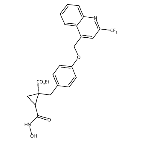 CCOC(=O)[C@@]1(Cc2ccc(OCc3cc(C(F)(F)F)nc4ccccc34)cc2)CC1C(=O)NO